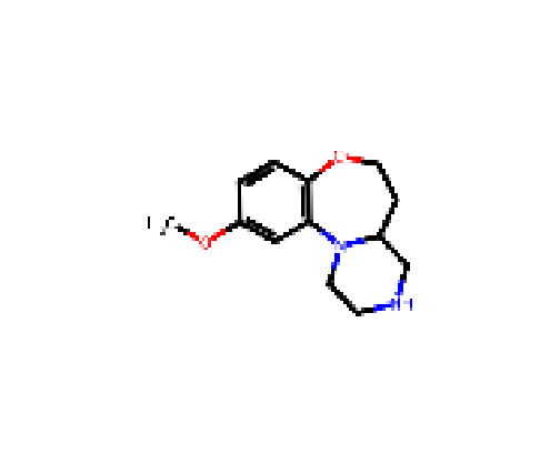 COc1ccc2c(c1)N1CCNCC1CCO2